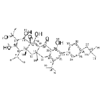 CC(=O)C1=C(O)C(C(C)C)[C@@]2(C)C[C@@]3(C)Cc4c(C(C)C)cc(-c5ccc(CC(C)(C)C)cc5)c(O)c4C(=O)C3=C(O)[C@@]2(O)C1=O